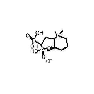 CC1CCC[N+](C)(C)C1CC(P(=O)(O)O)P(=O)(O)O.[Cl-]